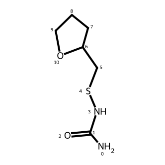 NC(=O)NSCC1CCCO1